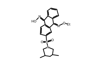 CCO/N=C1\c2ccccc2/C(=N/O)c2ccc(S(=O)(=O)N3CC(C)CC(C)C3)cc21